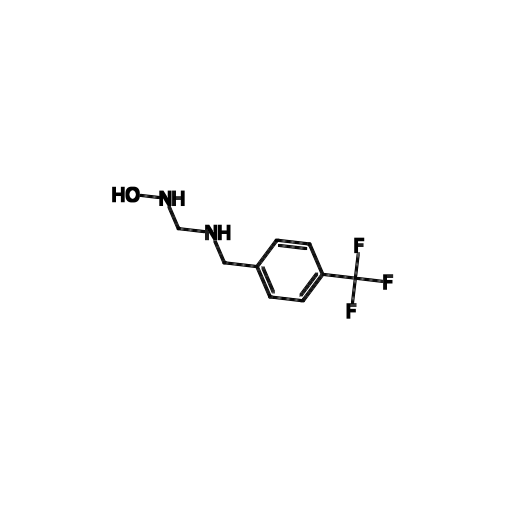 ONCNCc1ccc(C(F)(F)F)cc1